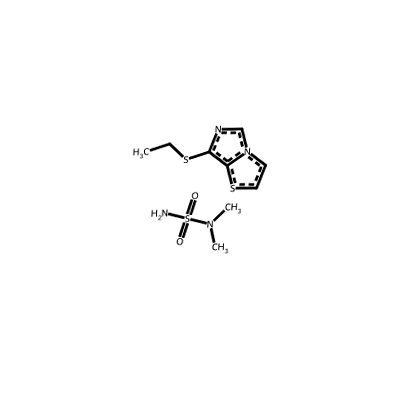 CCSc1ncn2ccsc12.CN(C)S(N)(=O)=O